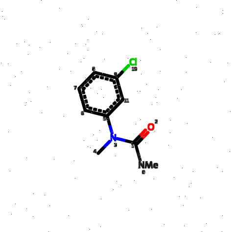 CNC(=O)N(C)c1cccc(Cl)c1